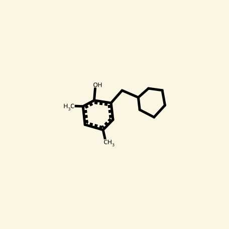 Cc1cc(C)c(O)c(CC2CCCCC2)c1